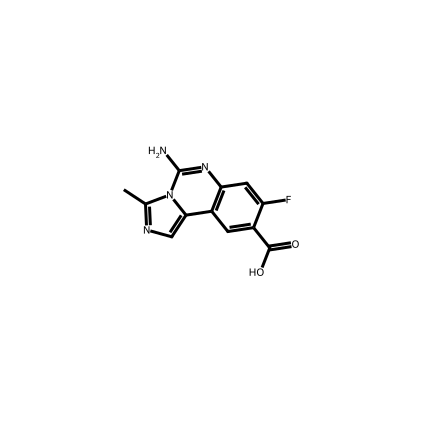 Cc1ncc2c3cc(C(=O)O)c(F)cc3nc(N)n12